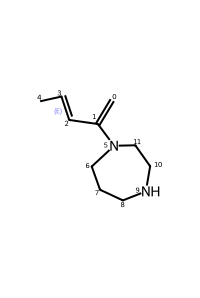 C=C(/C=C/C)N1CCCNCC1